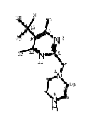 Cc1nc(CN2CCNCC2)nc(C)c1C(C)(C)C